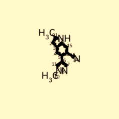 Cc1cc2cc(-c3cnn(C)c3)c(C#N)cc2[nH]1